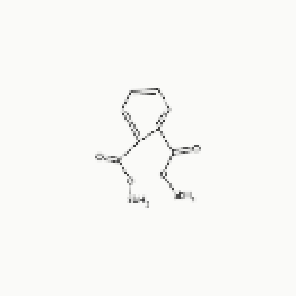 O=C([O][SbH2])c1ccccc1C(=O)[O][SbH2]